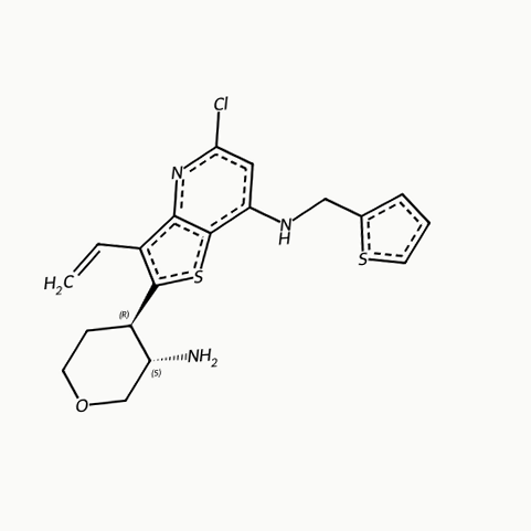 C=Cc1c([C@@H]2CCOC[C@H]2N)sc2c(NCc3cccs3)cc(Cl)nc12